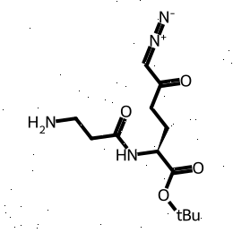 CC(C)(C)OC(=O)[C@H](CCC(=O)C=[N+]=[N-])NC(=O)CCN